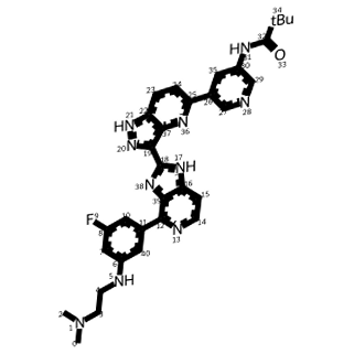 CN(C)CCNc1cc(F)cc(-c2nccc3[nH]c(-c4n[nH]c5ccc(-c6cncc(NC(=O)C(C)(C)C)c6)nc45)nc23)c1